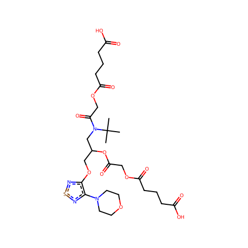 CC(C)(C)N(CC(COc1nsnc1N1CCOCC1)OC(=O)COC(=O)CCCC(=O)O)C(=O)COC(=O)CCCC(=O)O